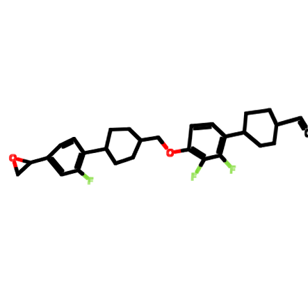 C=CC1CCC(c2ccc(OCC3CCC(c4ccc(C5CO5)cc4F)CC3)c(F)c2F)CC1